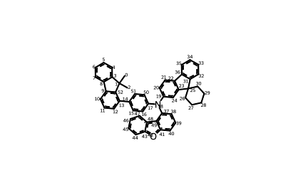 CC1(C)c2ccccc2-c2cccc(-c3ccc(N(c4ccc5c(c4)C4(CCCCC4)c4ccccc4-5)c4cccc5oc6ccccc6c45)cc3)c21